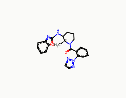 C[C@H]1C(Nc2nc3ccccc3o2)CCCN1C(=O)c1ccccc1-n1nccn1